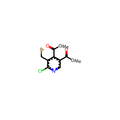 COC(=O)c1cnc(Cl)c(CBr)c1C(=O)OC